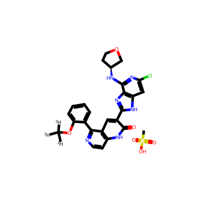 CS(=O)(=O)O.[2H]C([2H])([2H])Oc1ccccc1-c1nccc2[nH]c(=O)c(-c3nc4c(N[C@H]5CCOC5)nc(Cl)cc4[nH]3)cc12